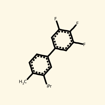 Cc1ccc(-c2cc(F)c(F)c(F)c2)cc1C(C)C